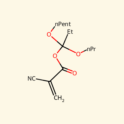 C=C(C#N)C(=O)OC(CC)(OCCC)OCCCCC